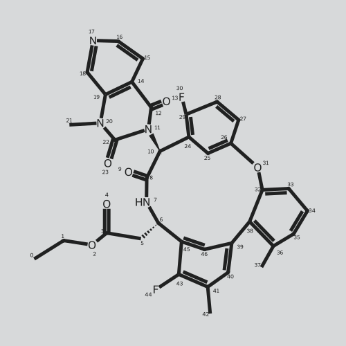 CCOC(=O)C[C@@H]1NC(=O)[C@@H](n2c(=O)c3ccncc3n(C)c2=O)c2cc(ccc2F)Oc2cccc(C)c2-c2cc(C)c(F)c1c2